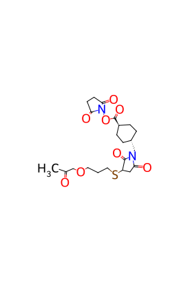 CC(=O)COCCCSC1CC(=O)N(C[C@H]2CC[C@H](C(=O)ON3C(=O)CCC3=O)CC2)C1=O